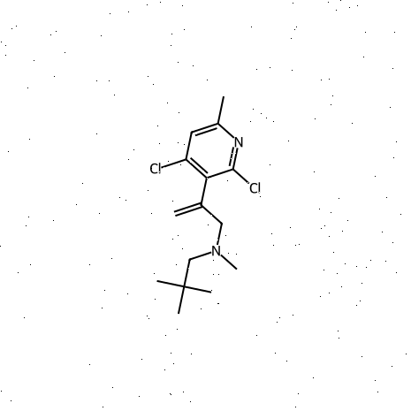 C=C(CN(C)CC(C)(C)C)c1c(Cl)cc(C)nc1Cl